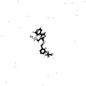 CCn1c(SCc2cccc(OC(F)(F)F)c2)nnc1-c1ccncc1